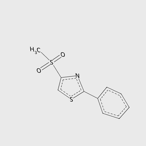 CS(=O)(=O)c1csc(-c2ccccc2)n1